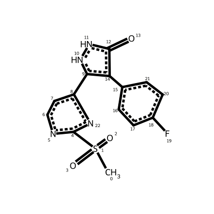 CS(=O)(=O)c1nccc(-c2[nH][nH]c(=O)c2-c2ccc(F)cc2)n1